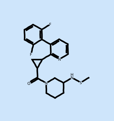 CSNC1CCCN(C(=O)C2CC2c2ncccc2-c2c(F)cccc2F)C1